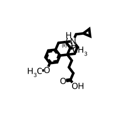 COc1ccc2c(c1)C1(CCCC(=O)O)CCN(CC3CC3)[C@H](C2)[C@@H]1C